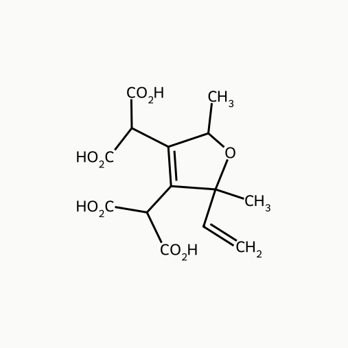 C=CC1(C)OC(C)C(C(C(=O)O)C(=O)O)=C1C(C(=O)O)C(=O)O